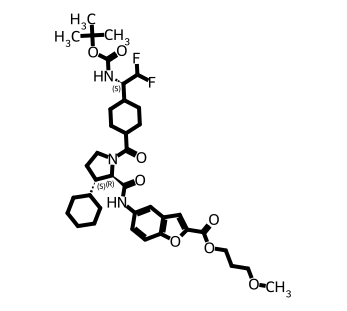 COCCCOC(=O)c1cc2cc(NC(=O)[C@H]3[C@H](C4CCCCC4)CCN3C(=O)C3CCC([C@H](NC(=O)OC(C)(C)C)C(F)F)CC3)ccc2o1